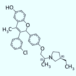 CC[C@@H]1CCN([C@@H](C)COc2ccc(C3Oc4ccc(O)cc4C(C)=C3c3cccc(Cl)c3)cc2)C1